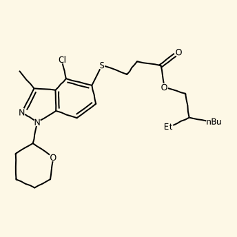 CCCCC(CC)COC(=O)CCSc1ccc2c(c(C)nn2C2CCCCO2)c1Cl